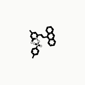 Cc1ccc(S(=O)(=O)On2c(/C=C/c3c4ccccc4cc4ccccc34)cc(C)cc2=O)cc1